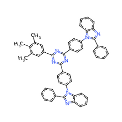 Cc1cc(-c2nc(-c3ccc(-n4c(-c5ccccc5)nc5ccccc54)cc3)nc(-c3ccc(-n4c(-c5ccccc5)nc5ccccc54)cc3)n2)cc(C)c1C